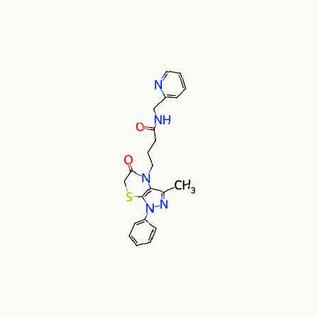 Cc1nn(-c2ccccc2)c2c1N(CCCC(=O)NCc1ccccn1)C(=O)CS2